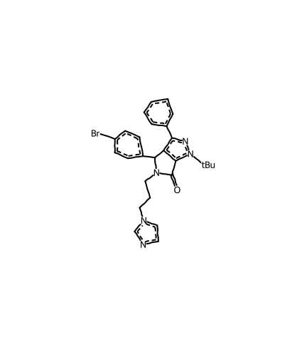 CC(C)(C)n1nc(-c2ccccc2)c2c1C(=O)N(CCCn1ccnc1)C2c1ccc(Br)cc1